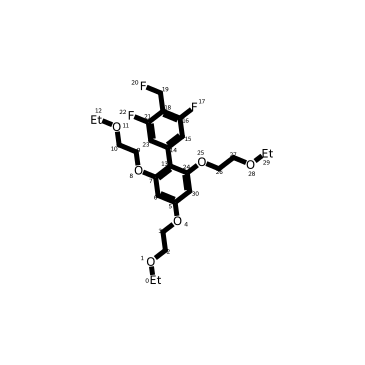 CCOCCOc1cc(OCCOCC)c(-c2cc(F)c(CF)c(F)c2)c(OCCOCC)c1